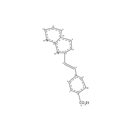 CCOC(=O)c1ccc(/C=C/c2ccc3cccnc3n2)cc1